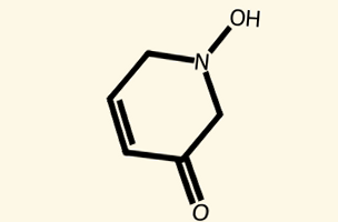 O=C1C=CCN(O)C1